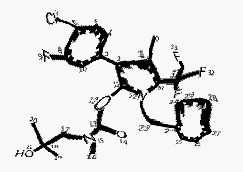 Cc1c(-c2ccc(Cl)c(F)c2)c(OC(=O)N(C)CC(C)(C)O)n(Cc2ccccc2)c1C(F)(F)F